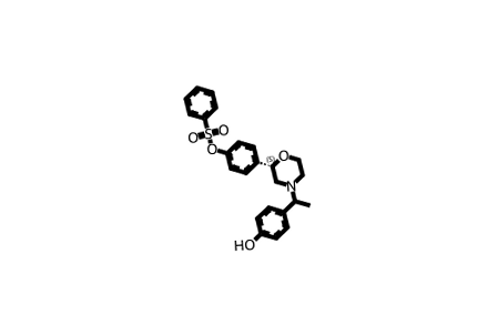 CC(c1ccc(O)cc1)N1CCO[C@@H](c2ccc(OS(=O)(=O)c3ccccc3)cc2)C1